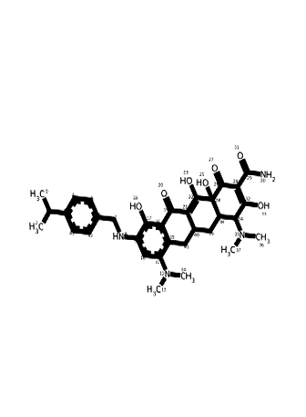 CC(C)c1ccc(CNc2cc(N(C)C)c3c(c2O)C(=O)C2=C(O)C4(O)C(=O)C(C(N)=O)=C(O)C(N(C)C)C4CC2C3)cc1